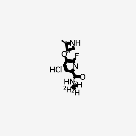 Cl.[2H]C([2H])([2H])NC(=O)c1ccc(O[C@H]2CN[C@@H]2C)c(F)n1